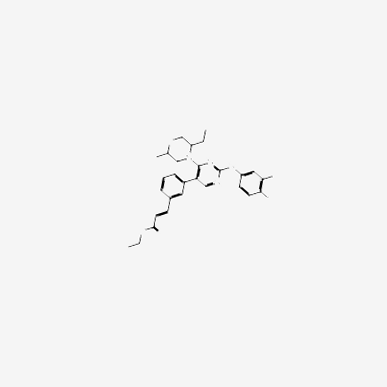 CCOC(=O)/C=C/c1cccc(-c2cnc(Nc3ccc(F)c(Cl)c3)nc2N2CC(C)OCC2CC)c1